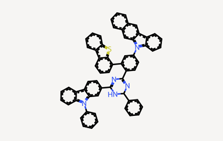 c1ccc(C2N=C(c3ccc(-n4c5ccccc5c5cc6ccccc6cc54)cc3-c3cccc4c3sc3ccccc34)N=C(c3ccc4c5ccccc5n(-c5ccccc5)c4c3)N2)cc1